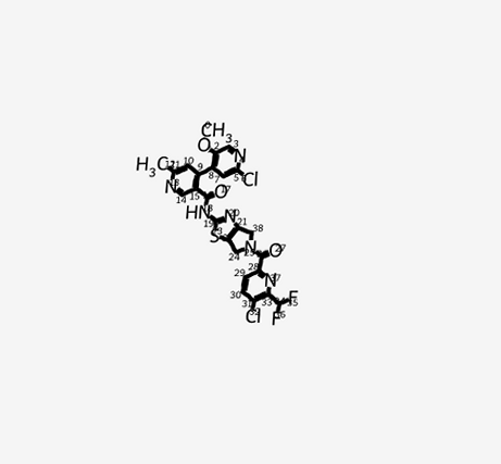 COc1cnc(Cl)cc1-c1cc(C)ncc1C(=O)Nc1nc2c(s1)CN(C(=O)c1ccc(Cl)c(C(F)F)n1)C2